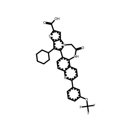 O=C1Cn2c(c(C3CCCCC3)c3sc(C(=O)O)cc32)-c2ccc3nc(-c4cccc(OC(F)(F)F)c4)ccc3c2N1